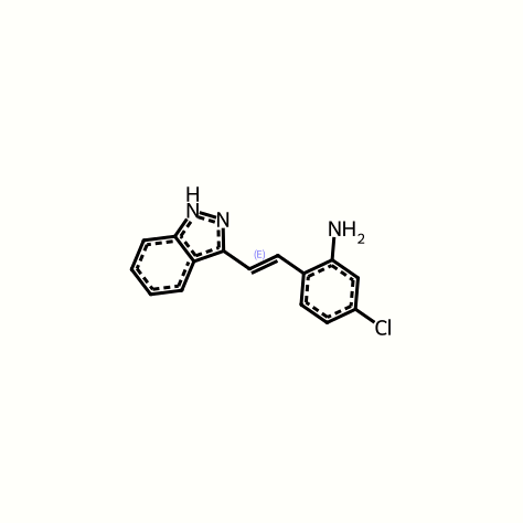 Nc1cc(Cl)ccc1/C=C/c1n[nH]c2ccccc12